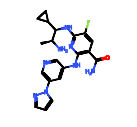 C[C@H](N)[C@H](Nc1nc(Nc2cncc(-n3cccn3)c2)c(C(N)=O)cc1F)C1CC1